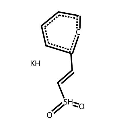 O=[SH](=O)C=Cc1ccccc1.[KH]